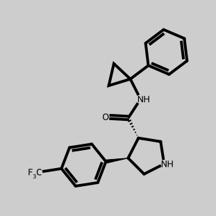 O=C(NC1(c2ccccc2)CC1)[C@@H]1CNC[C@H]1c1ccc(C(F)(F)F)cc1